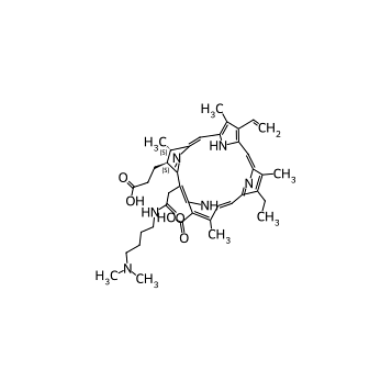 C=Cc1c(C)c2cc3nc(c(CC(=O)NCCCCN(C)C)c4[nH]c(cc5nc(cc1[nH]2)C(C)=C5CC)c(C)c4C(=O)O)[C@@H](CCC(=O)O)[C@@H]3C